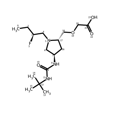 CC[C@H](F)CN1C[C@H](NC(=O)NC(C)(C)C)C[C@H]1COCC(=O)O